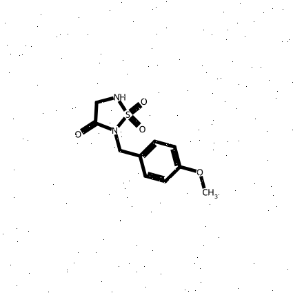 COc1ccc(CN2C(=O)CNS2(=O)=O)cc1